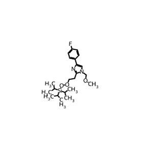 COCn1cc(-c2ccc(F)cc2)nc1CCOO[Si](C(C)C)(C(C)C)C(C)C